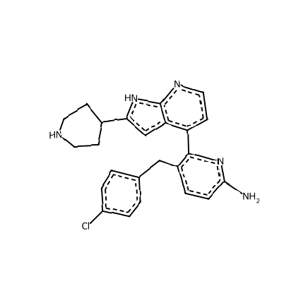 Nc1ccc(Cc2ccc(Cl)cc2)c(-c2ccnc3[nH]c(C4CCNCC4)cc23)n1